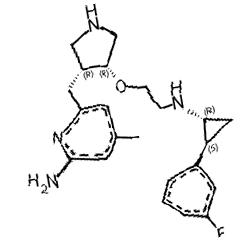 Cc1cc(N)nc(C[C@@H]2CNC[C@@H]2OCCN[C@@H]2C[C@H]2c2cccc(F)c2)c1